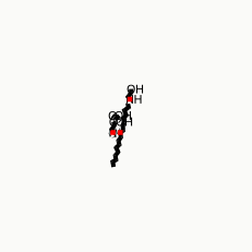 CCCCCCCCCCCCCCCCCCNCCO.C[N+](C)(C)CCOP(=O)(O)O